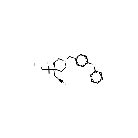 CCC(C)(C)C1(CC#N)CCN(Cc2ccc(Oc3ccccc3)cc2)CC1